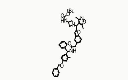 Cc1cc(OCc2ccccc2)ccc1C(NC(=O)Cc1ccc2oc(C(c3c(C)noc3C)N3CC(NC(=O)OC(C)(C)C)C3)cc2c1)c1ccccc1